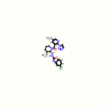 Cc1cnc(-n2ccnn2)c(C(=O)N2CCC[C@@H](C)[C@H]2CNc2nc3cc(Cl)ccc3o2)c1